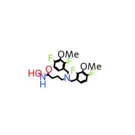 COc1c(F)ccc(CN(CCCC(=O)NO)Cc2ccc(F)c(OC)c2F)c1F